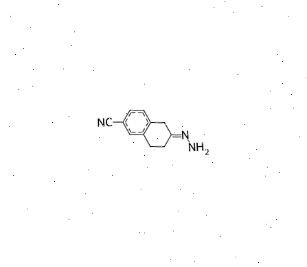 N#Cc1ccc2c(c1)CCC(=NN)C2